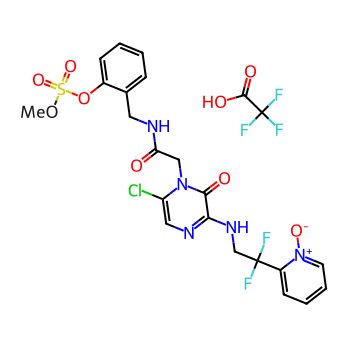 COS(=O)(=O)Oc1ccccc1CNC(=O)Cn1c(Cl)cnc(NCC(F)(F)c2cccc[n+]2[O-])c1=O.O=C(O)C(F)(F)F